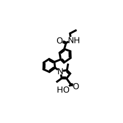 CCNC(=O)c1cccc(-c2ccccc2-n2c(C)cc(C(=O)O)c2C)c1